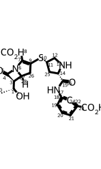 C[C@@H](O)[C@H]1C(=O)N2C(C(=O)O)=C(S[C@@H]3CN[C@H](C(=O)Nc4cccc(C(=O)O)c4)C3)C[C@H]12